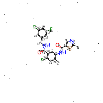 Cc1ncc(C(=O)Nc2cc(C(=O)NCc3cc(F)cc(F)c3)c(F)cc2C)s1